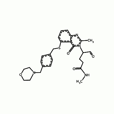 CNC(=O)CCC(C=O)n1c(C)nc2cccc(SCc3ccc(CN4CCOCC4)cc3)c2c1=O